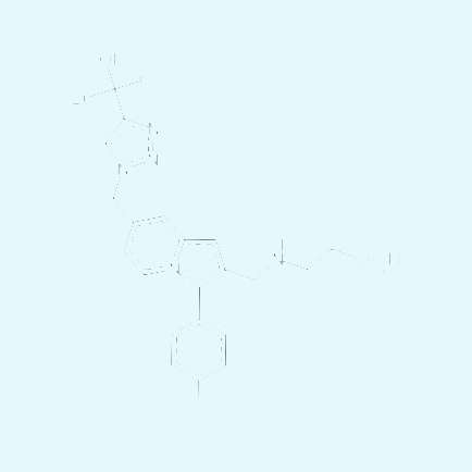 CCC(O)(c1cn(Cc2ccn3c(-c4ccc(F)cc4)c(CNCCC(=O)O)cc3c2)nn1)C(F)(F)F